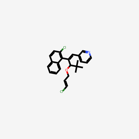 CC(C)(C)C(OCC=CCl)C(=Cc1cccnc1)c1c(Cl)ccc2ccccc12